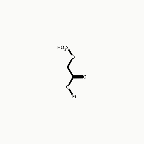 CCOC(=O)COS(=O)(=O)O